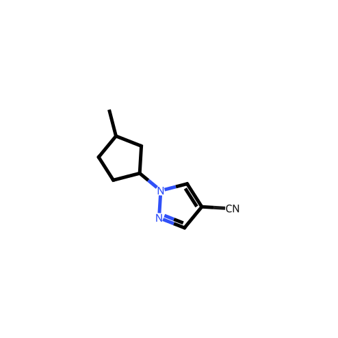 CC1CCC(n2cc(C#N)cn2)C1